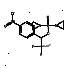 O=[N+]([O-])c1ccc(C(OP(=O)(N2CC2)N2CC2)C(F)(F)F)cc1